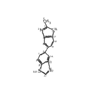 Cc1nc2cc(-c3ccc4scnc4c3)ccc2s1